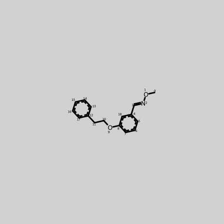 CON=Cc1cccc(OCCc2ccccc2)c1